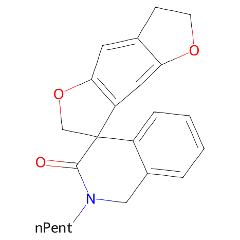 CCCCCN1Cc2ccccc2C2(COc3cc4c(cc32)OCC4)C1=O